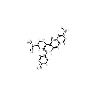 CN(C)c1ccc(/C=C(/SCc2ccc(Cl)cc2)C(=O)c2ccc(C(=O)O)cc2)cc1